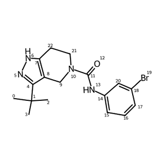 CC(C)(C)c1n[nH]c2c1CN(C(=O)Nc1cccc(Br)c1)CC2